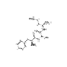 CC[C@H](C)[C@H](NC(=O)[C@@H](N)Cc1ccccc1)C(=O)N[C@@H](CCSC)C(=O)O